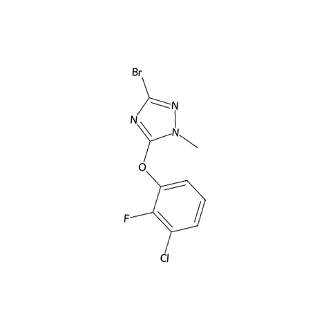 Cn1nc(Br)nc1Oc1cccc(Cl)c1F